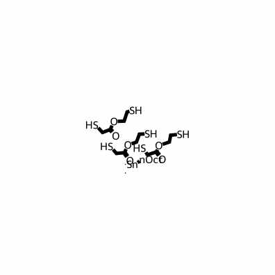 CCCCCCC[CH2][Sn].O=C(CS)OCCS.O=C(CS)OCCS.O=C(CS)OCCS